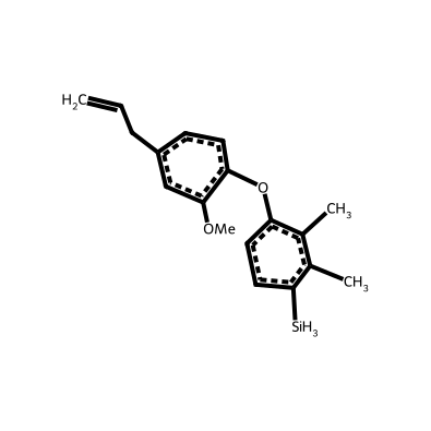 C=CCc1ccc(Oc2ccc([SiH3])c(C)c2C)c(OC)c1